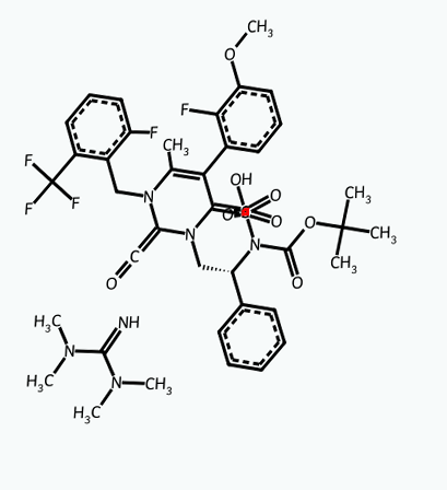 CN(C)C(=N)N(C)C.COc1cccc(C2=C(C)N(Cc3c(F)cccc3C(F)(F)F)C(=C=O)N(C[C@@H](c3ccccc3)N(C(=O)OC(C)(C)C)S(=O)(=O)O)C2=C=O)c1F